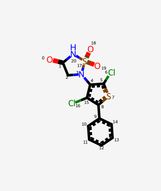 O=C1CN(c2c(Cl)sc(-c3ccccc3)c2Cl)S(=O)(=O)N1